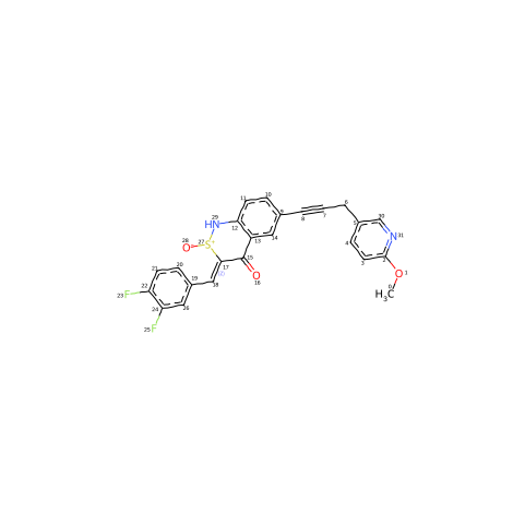 COc1ccc(CC#Cc2ccc3c(c2)C(=O)/C(=C/c2ccc(F)c(F)c2)[S+]([O-])N3)cn1